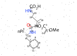 C=C(OC)C(=O)O.CCC[C@@H](Cc1ccccc1)NC(=O)CC(C)CCNC(=O)O